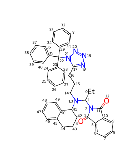 CCC(N1C(=O)c2ccccc2C1=O)N(CCCc1nnnn1C(c1ccccc1)(c1ccccc1)c1ccccc1)C1CCCc2ccccc21